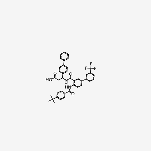 CC(C)(C)c1ccc(C(=O)Nc2ccc(-c3cccc(C(F)(F)F)c3)cc2C(=O)NC(CC(=O)O)c2ccc(-c3ccccc3)cc2)cc1